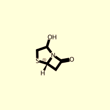 O=C1C[C@@H]2SCC(O)N12